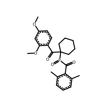 COc1ccc(C(=O)C2([P](=O)C(=O)c3c(C)cccc3C)CCCCC2)c(OC)c1